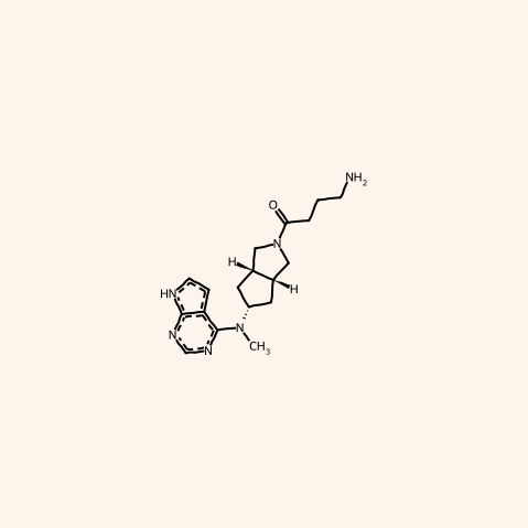 CN(c1ncnc2[nH]ccc12)[C@@H]1C[C@@H]2CN(C(=O)CCCN)C[C@@H]2C1